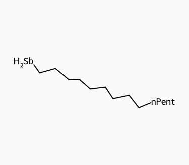 CCCCCCCCCCCCC[CH2][SbH2]